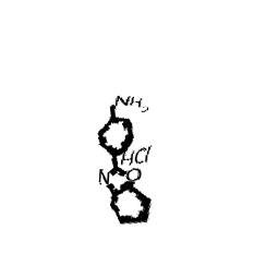 Cl.NCc1ccc(-c2nc3ccccc3o2)cc1